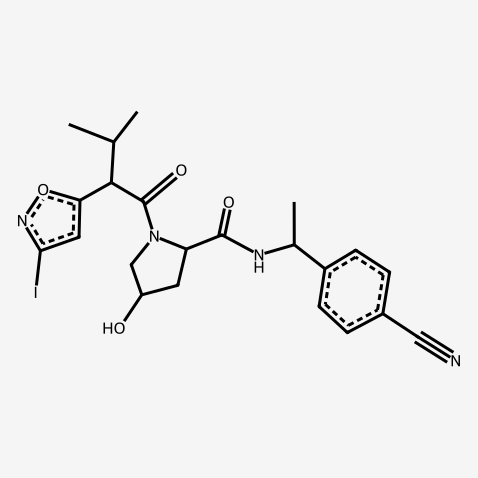 CC(NC(=O)C1CC(O)CN1C(=O)C(c1cc(I)no1)C(C)C)c1ccc(C#N)cc1